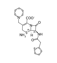 N.O=C(Cc1cccs1)N[C@@H]1C(=O)N2C(C(=O)[O-])=C(C[n+]3ccccc3)CS[C@H]12